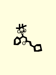 CC1(C)OB(C(CC(=O)C=Cc2ccccc2)c2ccccc2)OC1(C)C